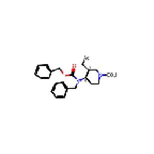 CC(=O)C[C@H]1CN(C(=O)O)CC[C@H]1N(Cc1ccccc1)C(=O)OCc1ccccc1